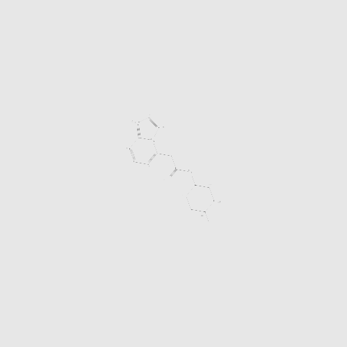 O=C(Cc1cccc2nccn12)NC1CCC(C(F)(F)F)CC1